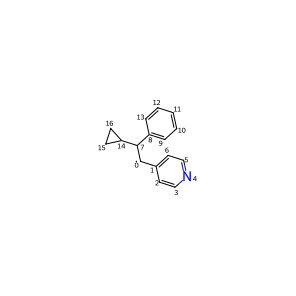 [CH](c1ccncc1)C(c1ccccc1)C1CC1